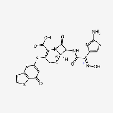 Nc1nc(/C(=N\O)C(=O)NC2C(=O)N3C(C(=O)O)=C(Sc4cc(=O)c5sccc5s4)CS[C@H]23)cs1